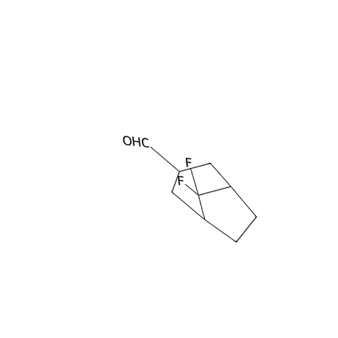 O=CC1CC2CCC(C1)C2(F)F